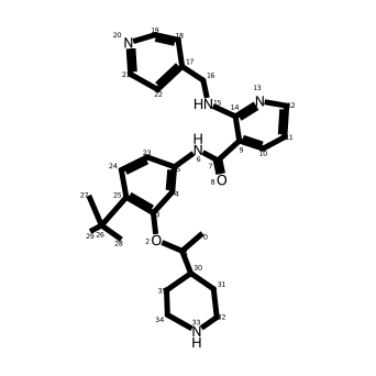 CC(Oc1cc(NC(=O)c2cccnc2NCc2ccncc2)ccc1C(C)(C)C)C1CCNCC1